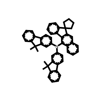 CC1(C)c2ccccc2-c2ccc(N(c3ccc4c(c3)C(C)(C)c3ccccc3-4)c3c4c(cc5ccccc35)C3(CCCC3)c3ccccc3-4)cc21